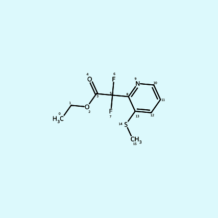 CCOC(=O)C(F)(F)c1ncccc1SC